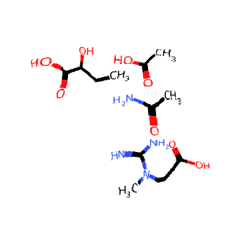 CC(=O)O.CC(N)=O.CCC(O)C(=O)O.CN(CC(=O)O)C(=N)N